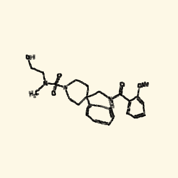 COc1ccccc1C(=O)NCC1(c2ccccc2)CCN(S(=O)(=O)N(C)CCO)CC1